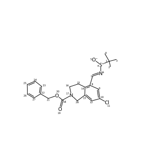 CC(C)(C)[S+]([O-])N=Cc1cc(Cl)cc2c1CCN(C(=O)OCc1ccccc1)C2